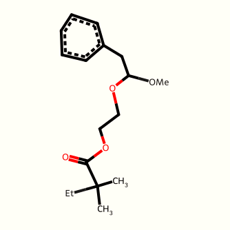 CCC(C)(C)C(=O)OCCOC(Cc1ccccc1)OC